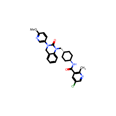 COc1ccc(N2Cc3ccccc3N(C[C@H]3CC[C@H](NC(=O)c4cc(Cl)cnc4C)CC3)C2=O)cn1